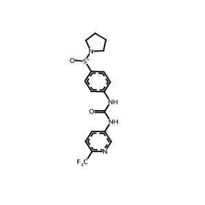 O=C(Nc1ccc([S+]([O-])N2CCCC2)cc1)Nc1ccc(C(F)(F)F)nc1